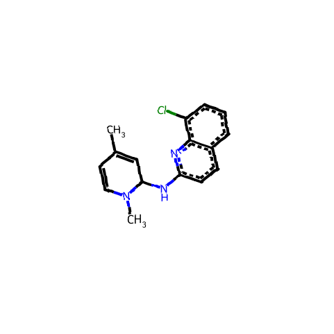 CC1=CC(Nc2ccc3cccc(Cl)c3n2)N(C)C=C1